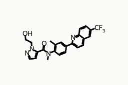 Cc1cc(-c2ccc3cc(C(F)(F)F)ccc3n2)ccc1N(C)C(=O)c1ccnn1CCO